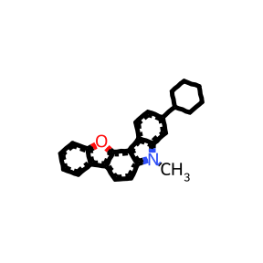 Cn1c2cc(C3CCCCC3)ccc2c2c3oc4ccccc4c3ccc21